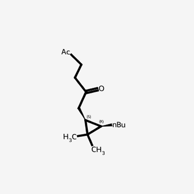 CCCC[C@@H]1[C@H](CC(=O)CCC(C)=O)C1(C)C